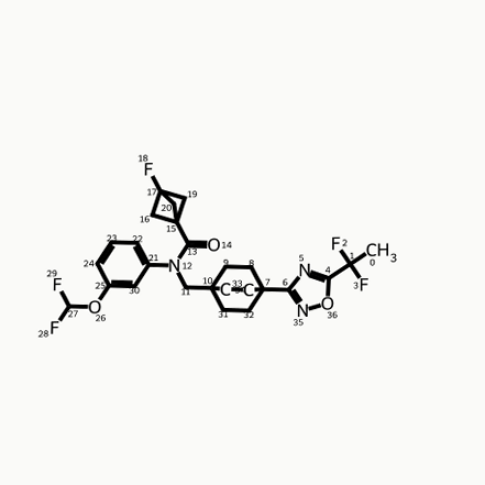 CC(F)(F)c1nc(C23CCC(CN(C(=O)C45CC(F)(C4)C5)c4cccc(OC(F)F)c4)(CC2)CC3)no1